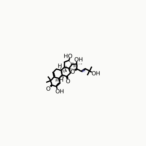 CC(C)(O)/C=C/C(=O)[C@](C)(O)[C@H]1C(O)C[C@@]2(C)[C@@H]3CC=C4[C@@H](C=C(O)C(=O)C4(C)C)[C@]3(C)C(=O)C[C@]12C